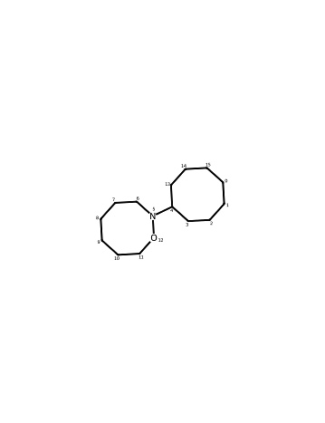 C1CCCC(N2CCCCCCO2)CCC1